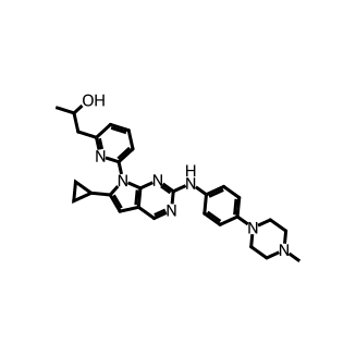 CC(O)Cc1cccc(-n2c(C3CC3)cc3cnc(Nc4ccc(N5CCN(C)CC5)cc4)nc32)n1